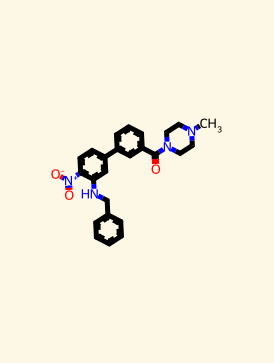 CN1CCN(C(=O)c2cccc(-c3ccc([N+](=O)[O-])c(NCc4ccccc4)c3)c2)CC1